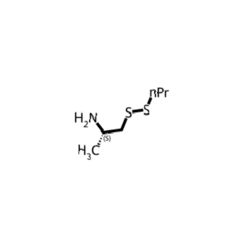 CCCSSC[C@H](C)N